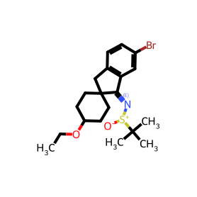 CCOC1CCC2(CC1)Cc1ccc(Br)cc1/C2=N/[S+]([O-])C(C)(C)C